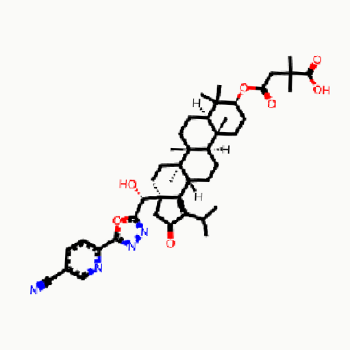 CC(C)C1=C2[C@H]3CC[C@@H]4[C@@]5(C)CC[C@H](OC(=O)CC(C)(C)C(=O)O)C(C)(C)[C@@H]5CC[C@@]4(C)[C@]3(C)CC[C@@]2([C@@H](O)c2nnc(-c3ccc(C#N)cn3)o2)CC1=O